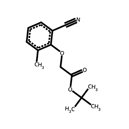 Cc1cccc(C#N)c1OCC(=O)OC(C)(C)C